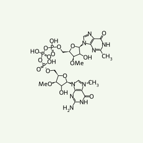 CO[C@@H]1C(O)[C@H](n2cnc3c(=O)[nH]c(C)nc32)O[C@@H]1COP(=O)(O)OP(=O)(O)OP(=O)(O)OC[C@H]1O[C@@H](n2c[n+](C)c3c(=O)[nH]c(N)nc32)C(O)[C@H]1OC